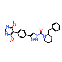 COc1ncnc(OC)c1-c1ccc(-c2cn(C(=O)N3CCCCC3Cc3ccccc3)nn2)cc1